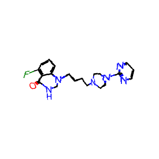 O=C1NCN(CCCCN2CCN(c3ncccn3)CC2)c2cccc(F)c21